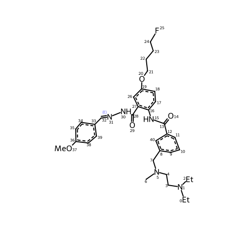 CCN(CC)CCN(C)Cc1cccc(C(=O)Nc2ccc(OCCCCF)cc2C(=O)N/N=C/c2ccc(OC)cc2)c1